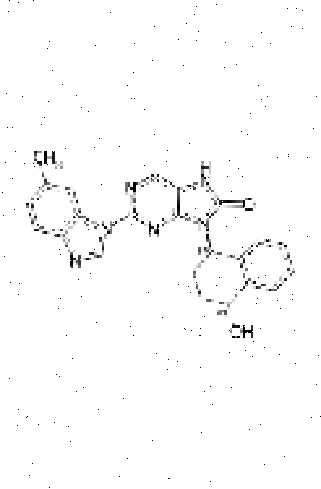 Cc1ccc2ncn(-c3ncc4[nH]c(=O)n([C@@H]5CC[C@@H](O)c6ccccc65)c4n3)c2c1